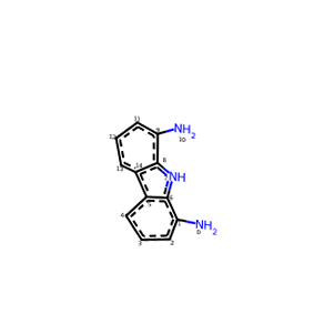 Nc1cccc2c1[nH]c1c(N)cccc12